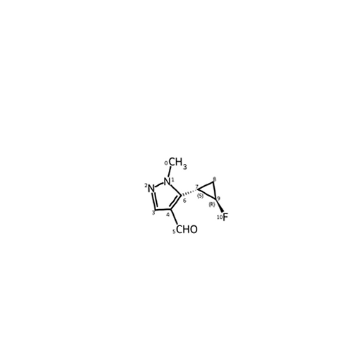 Cn1ncc(C=O)c1[C@@H]1C[C@H]1F